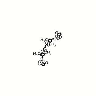 Cc1cc(COC(=O)ON2C(=O)CCC2=O)cc(C)c1OC(=O)CCCC(=O)Oc1c(C)cc(COC(=O)ON2C(=O)CCC2=O)cc1C